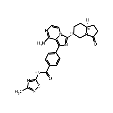 Cc1nsc(NC(=O)c2ccc(-c3nc([C@@H]4CC[C@H]5CCC(=O)N5C4)n4ccnc(N)c34)cc2)n1